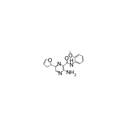 COc1ccccc1NC(=O)c1nc(C2CC=CO2)cnc1N